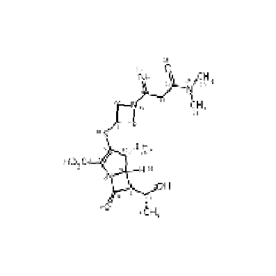 C[C@@H](O)[C@H]1C(=O)N2C(C(=O)O)=C(SC3CN(C(=N)CC(=O)N(C)C)C3)[C@H](C)[C@H]12